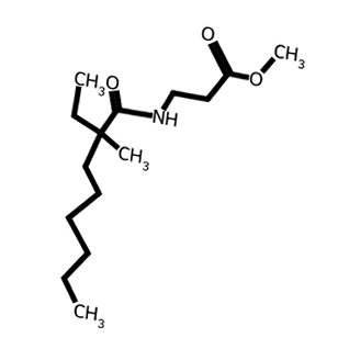 CCCCCCC(C)(CC)C(=O)NCCC(=O)OC